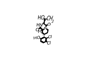 C[C@@H](O)[C@H]1NC(=O)[C@H]2C[C@@H](c3c(O)ccc(Cl)c3Cl)CCN2C1=O